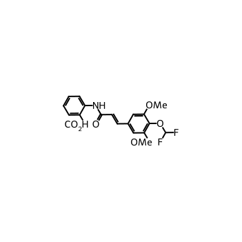 COc1cc(/C=C/C(=O)Nc2ccccc2C(=O)O)cc(OC)c1OC(F)F